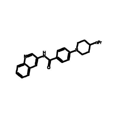 CCCC1CCN(c2ccc(C(=O)Nc3cnc4ccccc4c3)cc2)CC1